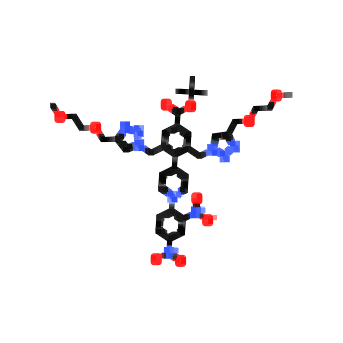 COCCOCc1cn(Cc2cc(C(=O)OC(C)(C)C)cc(Cn3cc(COCCOC)nn3)c2-c2cc[n+](-c3ccc([N+](=O)[O-])cc3[N+](=O)[O-])cc2)nn1